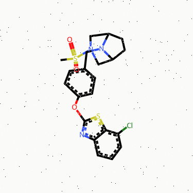 CS(=O)(=O)N1CC2CCC(C1)N2Cc1ccc(Oc2nc3cccc(Cl)c3s2)cc1